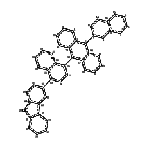 c1ccc2cc(-c3c4ccccc4c(-c4ccc(-c5ccc6oc7ccccc7c6c5)c5ccccc45)c4ccccc34)ccc2c1